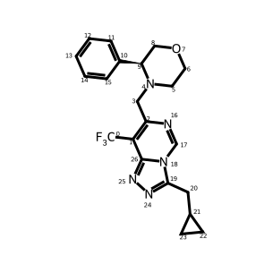 FC(F)(F)c1c(CN2CCOC[C@@H]2c2ccccc2)ncn2c(CC3CC3)nnc12